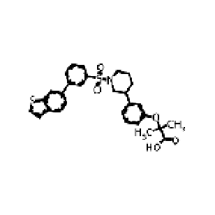 CC(C)(Oc1cccc(C2CCCN(S(=O)(=O)c3cccc(-c4ccc5ccsc5c4)c3)C2)c1)C(=O)O